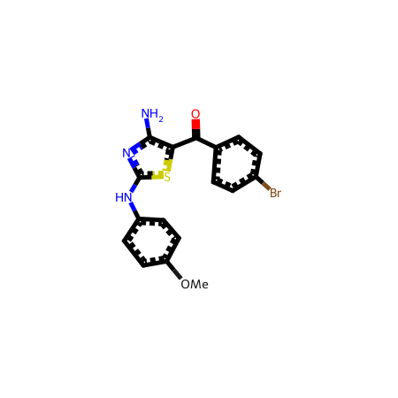 COc1ccc(Nc2nc(N)c(C(=O)c3ccc(Br)cc3)s2)cc1